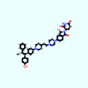 CCCC/C(=C(\c1ccc(O)cc1)c1ccc(N2CCC(CCN3CCN(c4ccc5c(c4)C(=O)N([C@H]4CCC(=O)NC4=O)C5=O)CC3)CC2)cc1)c1ccccc1